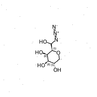 [N-]=[N+]=NC(O)[C@H]1O[CH][C@H](O)[C@@H](O)[C@H]1O